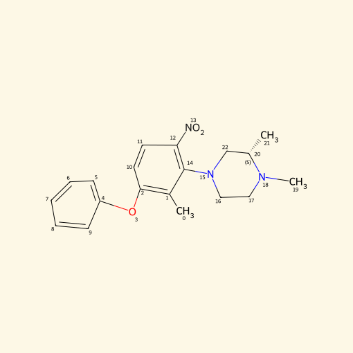 Cc1c(Oc2ccccc2)ccc([N+](=O)[O-])c1N1CCN(C)[C@@H](C)C1